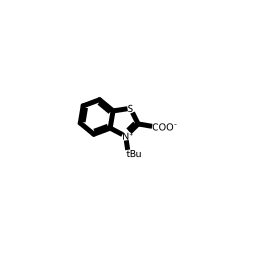 CC(C)(C)[n+]1c(C(=O)[O-])sc2ccccc21